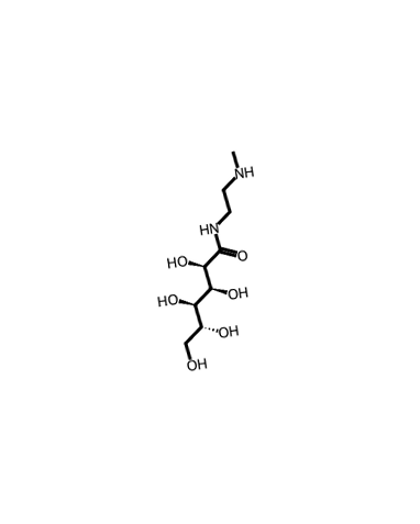 CNCCNC(=O)[C@H](O)[C@@H](O)[C@H](O)[C@H](O)CO